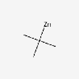 C[C](C)(C)[Zn]